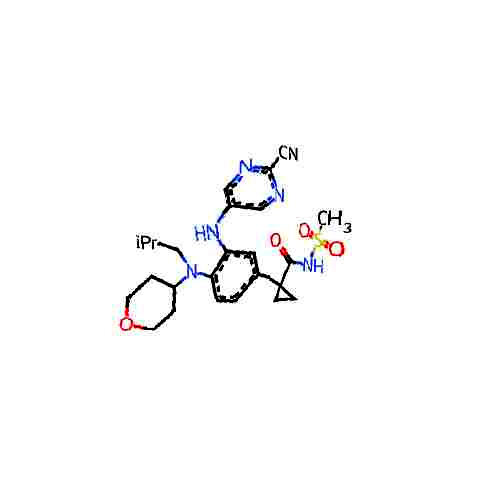 CC(C)CN(c1ccc(C2(C(=O)NS(C)(=O)=O)CC2)cc1Nc1cnc(C#N)nc1)C1CCOCC1